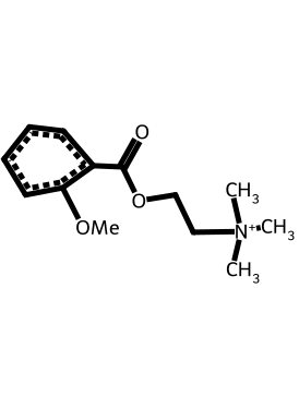 COc1ccccc1C(=O)OCC[N+](C)(C)C